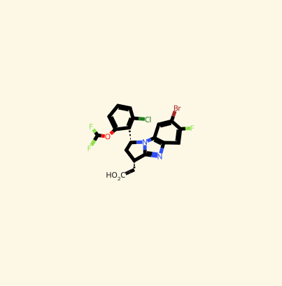 O=C(O)C[C@@H]1C[C@H](c2c(Cl)cccc2OC(F)F)n2c1nc1cc(F)c(Br)cc12